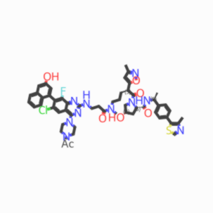 CC(=O)N1CCN(c2nc(NCCC(=O)N(C)CCC[C@H](C(=O)N3C[C@H](O)C[C@H]3C(=O)N[C@@H](C)c3ccc(-c4scnc4C)cc3)c3cc(C)no3)nc3c(F)c(-c4cc(O)cc5ccccc45)c(Cl)cc23)CC1